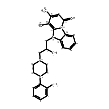 Cc1ccccc1N1CCN(CC(O)Cn2c3ccccc3n3c(=O)cc(C)c(C#N)c23)CC1